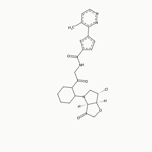 Cc1ccnnc1-c1ccc(C(=O)NCC(=O)C2CCCCC2N2C[C@H](Cl)[C@H]3OCC(=O)[C@H]32)s1